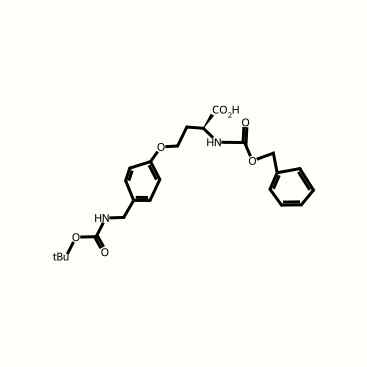 CC(C)(C)OC(=O)NCc1ccc(OCC[C@H](NC(=O)OCc2ccccc2)C(=O)O)cc1